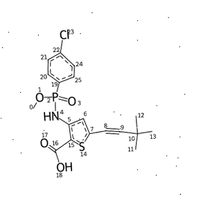 COP(=O)(Nc1cc(C#CC(C)(C)C)sc1C(=O)O)c1ccc(Cl)cc1